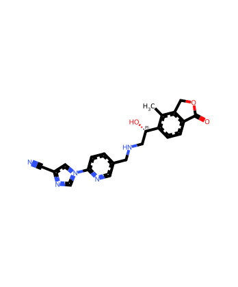 Cc1c([C@@H](O)CNCc2ccc(-n3cnc(C#N)c3)nc2)ccc2c1COC2=O